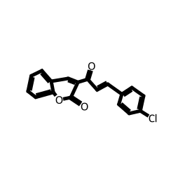 O=C(C=Cc1ccc(Cl)cc1)c1cc2ccccc2oc1=O